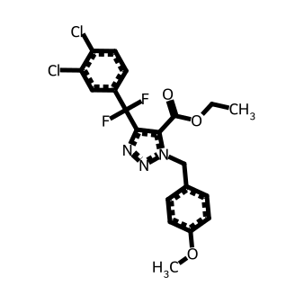 CCOC(=O)c1c(C(F)(F)c2ccc(Cl)c(Cl)c2)nnn1Cc1ccc(OC)cc1